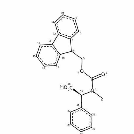 CN(C(=O)OCC1c2ccccc2-c2ccccc21)[C@H](C(=O)O)c1ccccc1